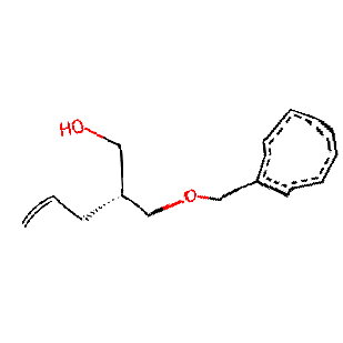 C=CC[C@H](CO)COCc1ccccc1